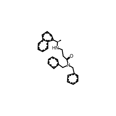 C[C@@H](NCCC(=O)N(Cc1ccccc1)Cc1ccccc1)c1cccc2ccccc12